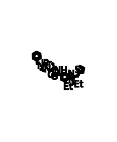 CCC(CC)n1c(Cc2cccs2)nc2cc(C(=O)N[C@@H](CC(C)C)C(=O)N3CCN(Cc4ccccc4)CC3)ccc21